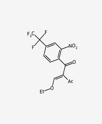 CCOC=C(C(C)=O)C(=O)c1ccc(C(F)(F)C(F)(F)F)cc1[N+](=O)[O-]